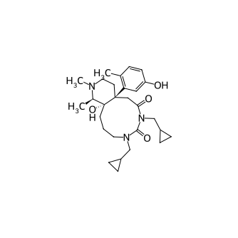 Cc1ccc(O)cc1[C@]12CCN(C)[C@H](C)[C@]1(O)CCCN(CC1CC1)C(=O)N(CC1CC1)C(=O)C2